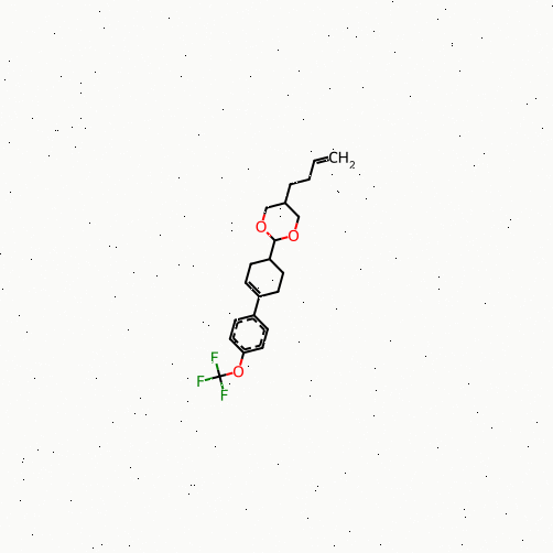 C=CCCC1COC(C2CC=C(c3ccc(OC(F)(F)F)cc3)CC2)OC1